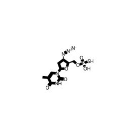 Cc1cn(C2C[C@H](N=[N+]=[N-])[C@@H](COP(=O)(O)S)O2)c(=O)[nH]c1=O